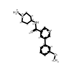 COc1cccc(-c2cncc(C(=O)NC3CCN(N)CC3)c2)c1